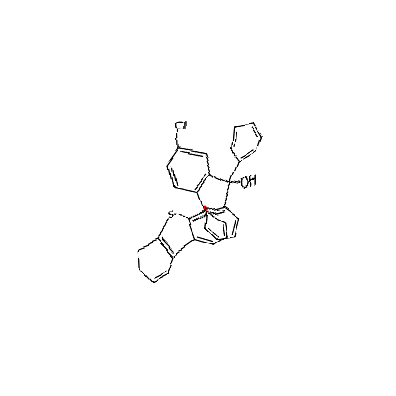 OC(c1ccccc1)(c1ccccc1)c1cc(Cl)ccc1-c1cccc2c3c(sc12)CCC=C3